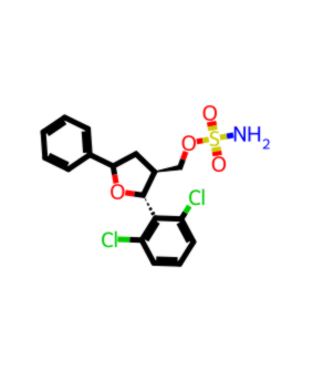 NS(=O)(=O)OC[C@@H]1CC(c2ccccc2)O[C@H]1c1c(Cl)cccc1Cl